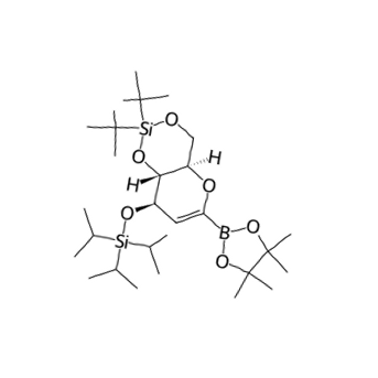 CC(C)[Si](O[C@@H]1C=C(B2OC(C)(C)C(C)(C)O2)O[C@@H]2CO[Si](C(C)(C)C)(C(C)(C)C)O[C@@H]12)(C(C)C)C(C)C